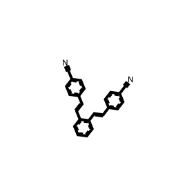 N#Cc1ccc(C=Cc2ccccc2/C=C/c2ccc(C#N)cc2)cc1